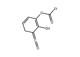 CCC(=O)OC1=C(O)C(=C=O)CC=C1